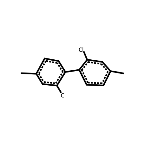 Cc1ccc(-c2ccc(C)cc2Cl)c(Cl)c1